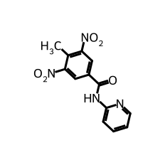 Cc1c([N+](=O)[O-])cc(C(=O)Nc2ccccn2)cc1[N+](=O)[O-]